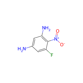 Nc1cc(N)c([N+](=O)[O-])c(F)c1